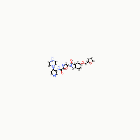 O=C(Nc1cnccc1N1CCNCC1)c1ncc(N2Cc3ccc(OCC4CCCO4)cc3C2=O)o1